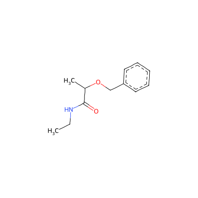 CCNC(=O)C(C)OCc1ccccc1